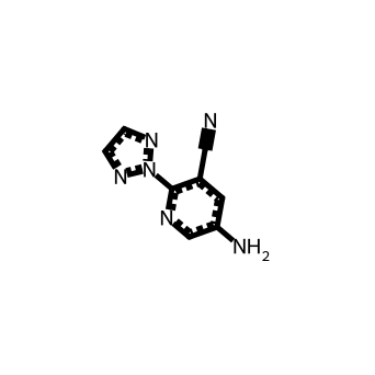 N#Cc1cc(N)cnc1-n1nccn1